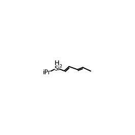 CC=CC=C[SiH2]C(C)C